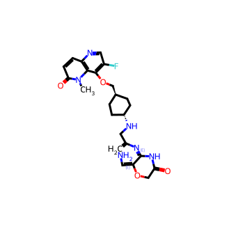 C=C(CN[C@H]1CC[C@H](COc2c(F)cnc3ccc(=O)n(C)c23)CC1)/N=C1/NC(=O)CO/C1=C/N